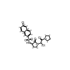 CCC(C(=O)N1CCCC1)N1CCC(NS(=O)(=O)c2ccc3cc(Cl)ccc3c2)C1=O